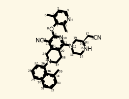 Cc1ccnc(C)c1Oc1nc(N2CCN[C@H](CC#N)C2)c2c(c1C#N)CN(c1cccc3cccc(C)c13)CC2